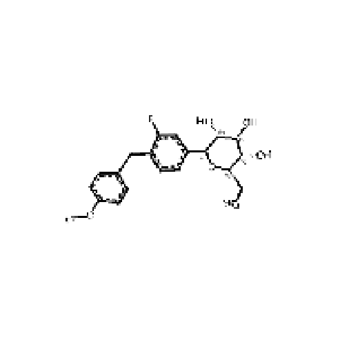 CCOc1ccc(Cc2ccc([C@@H]3O[C@H](CO)[C@@H](O)[C@H](O)[C@H]3O)cc2F)cc1